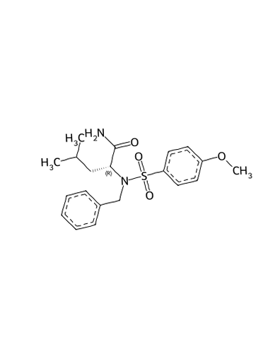 COc1ccc(S(=O)(=O)N(Cc2ccccc2)[C@H](CC(C)C)C(N)=O)cc1